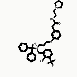 CC(c1ccccc1)(c1ccccc1)N(CCCOc1cccc(CC(=O)NCCN2CCCC2)c1)Cc1cccc(C(F)(F)F)c1Cl